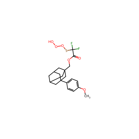 COc1ccc(C23CC4CC(CC(COC(=O)C(F)(F)SOOO)(C4)C2)C3)cc1